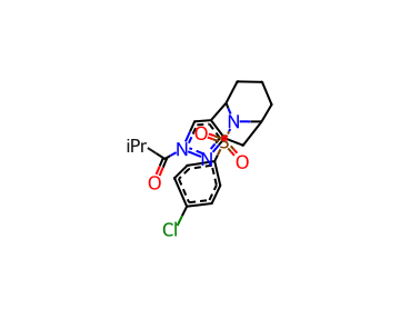 CC(C)C(=O)n1cc2c(n1)CC1CCCC2N1S(=O)(=O)c1ccc(Cl)cc1